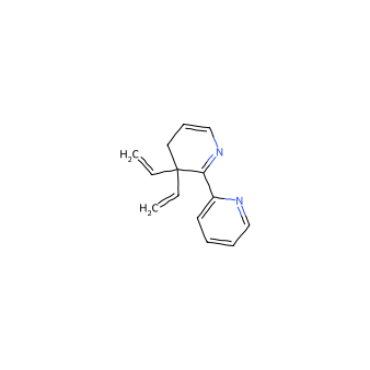 C=CC1(C=C)CC=CN=C1c1ccccn1